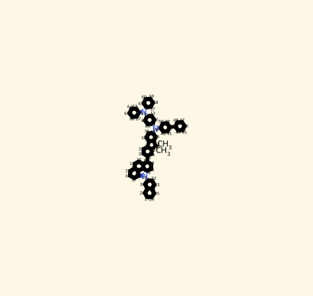 CC1(C)c2cc(-c3ccc4c5c3ccc3cccc(c35)n4-c3ccc4ccccc4c3)ccc2-c2ccc(N(c3ccc(-c4ccccc4)cc3)c3ccc(N(c4ccccc4)c4ccccc4)cc3)cc21